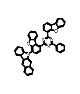 c1ccc(-c2nc(-c3cccc4c3oc3ccccc34)nc(-c3ccc(-n4c5ccccc5c5cc6ccccc6cc54)c4oc5ccccc5c34)n2)cc1